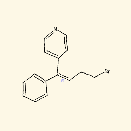 BrCC/C=C(/c1ccccc1)c1ccncc1